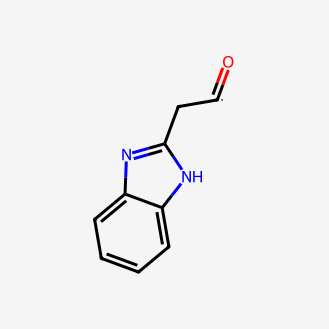 O=[C]Cc1nc2ccccc2[nH]1